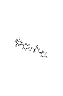 Cc1cc[n+](CCN(C)C(=O)OCc2ccc(B3OC(C)(C)C(C)(C)O3)cc2)cc1